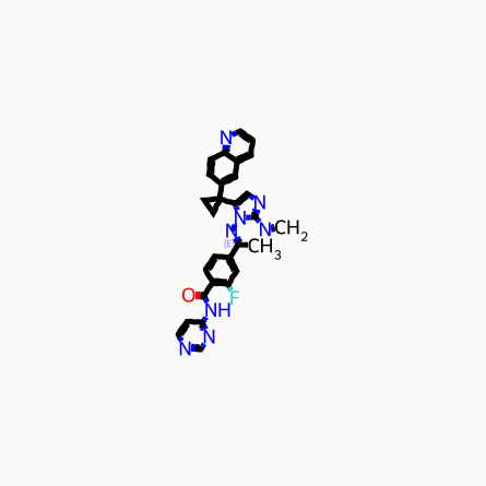 C=Nc1ncc(C2(c3ccc4ncccc4c3)CC2)n1/N=C(\C)c1ccc(C(=O)Nc2ccncn2)c(F)c1